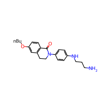 CCCCOc1ccc2c(c1)CCN(c1ccc(NCCCN)cc1)C2=O